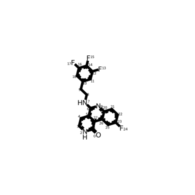 O=c1[nH]ccc2c(NCCc3cc(F)c(F)c(F)c3)nc3ccc(F)cc3c12